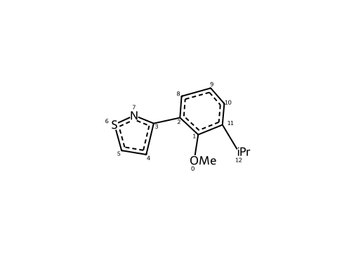 COc1c(-c2ccsn2)cccc1C(C)C